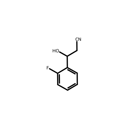 N#CCC(O)c1ccccc1F